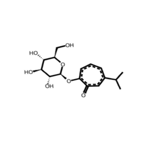 CC(C)c1cccc(O[C@@H]2O[C@H](CO)[C@@H](O)[C@H](O)[C@H]2O)c(=O)c1